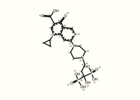 O=C(O)c1cn(C2CC2)c2cc(N3CCN(CCC(O)(P(=O)(O)O)P(=O)(O)O)CC3)ncc2c1=O